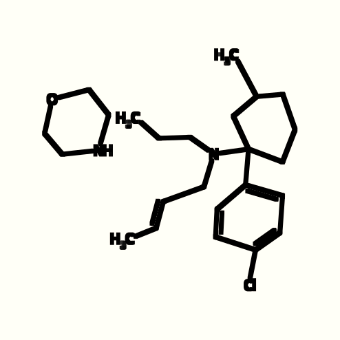 C1COCCN1.CC=CCN(CCC)C1(c2ccc(Cl)cc2)CCCC(C)C1